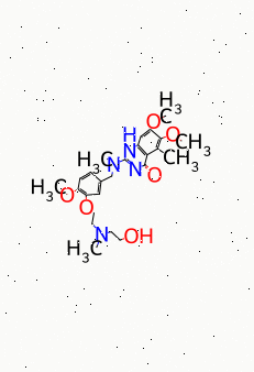 COc1ccc(CN(C)c2nc(=O)c3c(C)c(OC)c(OC)cc3[nH]2)cc1OCCN(C)CCO